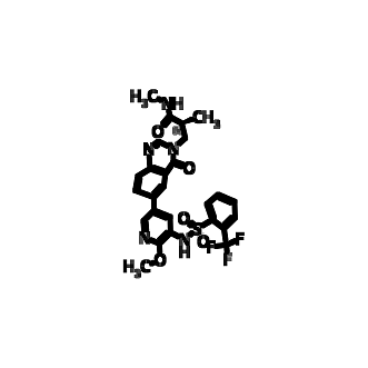 CNC(=O)[C@@H](C)Cn1cnc2ccc(-c3cnc(OC)c(NS(=O)(=O)c4ccccc4C(F)(F)F)c3)cc2c1=O